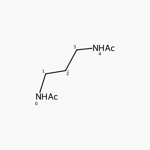 CC(=O)NC[CH]CNC(C)=O